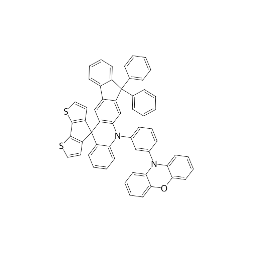 c1ccc(C2(c3ccccc3)c3ccccc3-c3cc4c(cc32)N(c2cccc(N3c5ccccc5Oc5ccccc53)c2)c2ccccc2C42c3ccsc3-c3sccc32)cc1